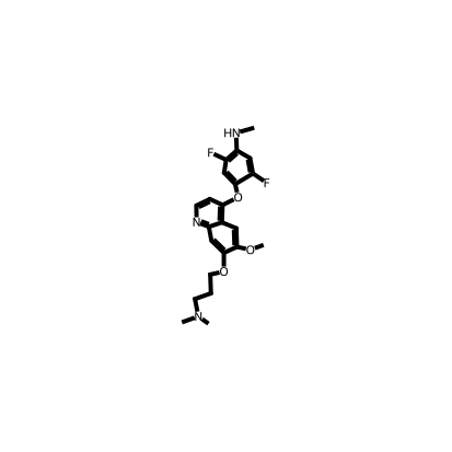 CNc1cc(F)c(Oc2ccnc3cc(OCCCN(C)C)c(OC)cc23)cc1F